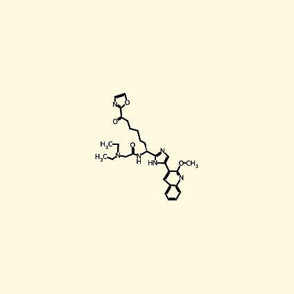 CCN(CC)CC(=O)N[C@@H](CCCCCC(=O)c1ncco1)c1ncc(-c2cc3ccccc3nc2OC)[nH]1